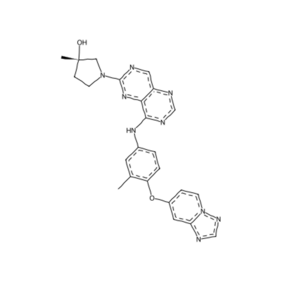 Cc1cc(Nc2ncnc3cnc(N4CC[C@](C)(O)C4)nc23)ccc1Oc1ccn2ncnc2c1